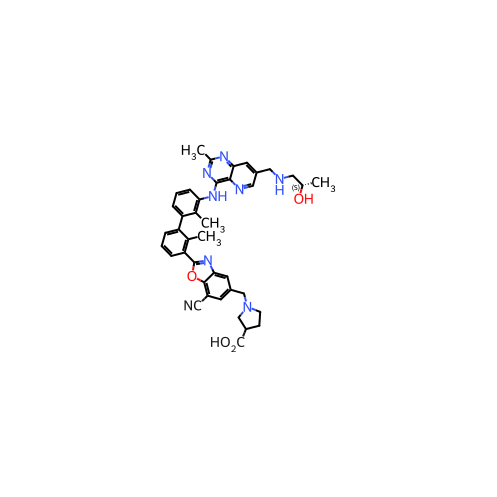 Cc1nc(Nc2cccc(-c3cccc(-c4nc5cc(CN6CCC(C(=O)O)C6)cc(C#N)c5o4)c3C)c2C)c2ncc(CNC[C@H](C)O)cc2n1